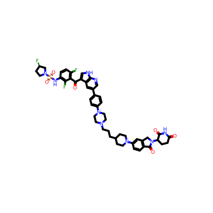 O=C1CCC(N2Cc3cc(N4CCC(CCCN5CCN(c6ccc(-c7cnc8[nH]cc(C(=O)c9c(F)ccc(NS(=O)(=O)N%10CC[C@@H](F)C%10)c9F)c8c7)cc6)CC5)CC4)ccc3C2=O)C(=O)N1